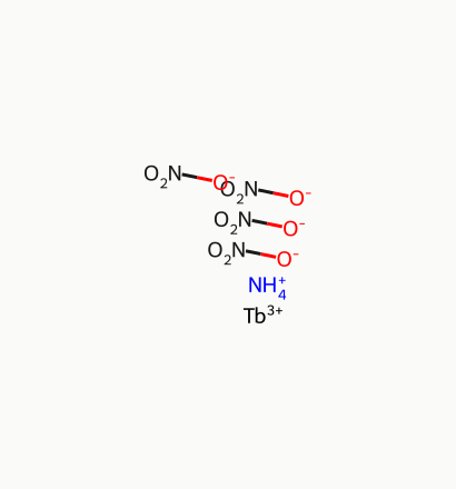 O=[N+]([O-])[O-].O=[N+]([O-])[O-].O=[N+]([O-])[O-].O=[N+]([O-])[O-].[NH4+].[Tb+3]